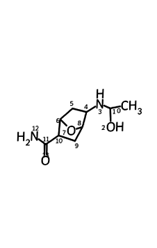 CC(O)NC1CC2OC1CC2C(N)=O